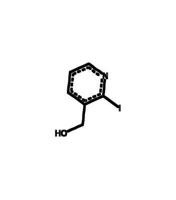 OCc1cccnc1I